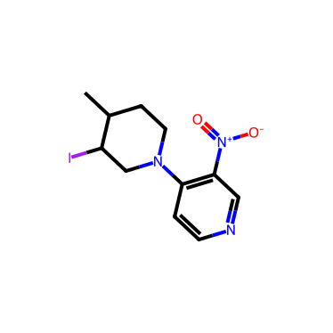 CC1CCN(c2ccncc2[N+](=O)[O-])CC1I